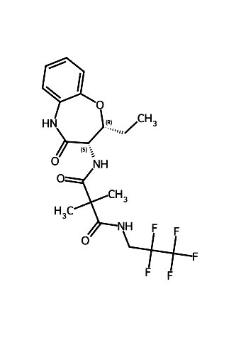 CC[C@H]1Oc2ccccc2NC(=O)[C@H]1NC(=O)C(C)(C)C(=O)NCC(F)(F)C(F)(F)F